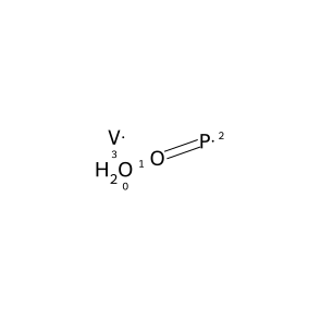 O.O=[P].[V]